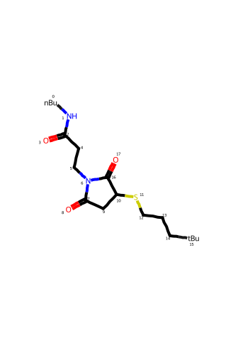 CCCCNC(=O)CCN1C(=O)CC(SCCCC(C)(C)C)C1=O